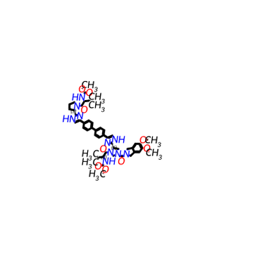 COC(=O)NC(C(=O)N1CCC[C@H]1c1nc(-c2ccc(-c3ccc(-c4c[nH]c([C@@H]5CN(C(=O)N6Cc7cc(OC)c(OC)cc7C6)CN5C(=O)[C@@H](NC(=O)OC)C(C)C)n4)cc3)cc2)c[nH]1)C(C)C